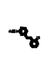 CCc1[c]cccc1C=Cc1ccnc(NC(C)=O)n1